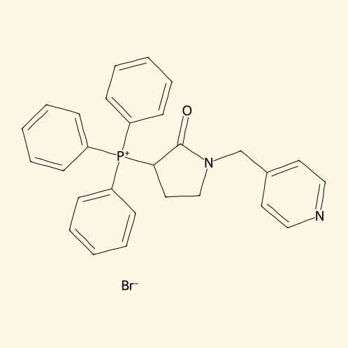 O=C1C([P+](c2ccccc2)(c2ccccc2)c2ccccc2)CCN1Cc1ccncc1.[Br-]